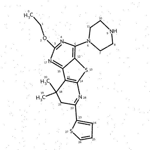 CCOc1nc(N2CCNCC2)c2sc3c(c2n1)C(C)(C)CC(c1cccs1)=N3